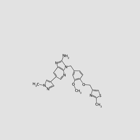 COc1cc(Cn2c(N)nc3cc(-c4cnn(C)c4)cnc32)ccc1OCc1csc(C)n1